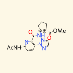 COC(=O)[C@H]1CCC[C@@H]1NC(=O)c1nc(NC(C)=O)ccc1-n1nccn1